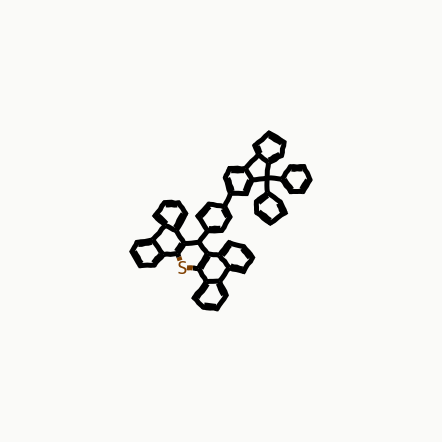 c1ccc(C2(c3ccccc3)c3ccccc3-c3ccc(-c4ccc(C5c6c(c7ccccc7c7ccccc67)Sc6c5c5ccccc5c5ccccc65)cc4)cc32)cc1